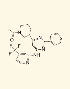 CC(=O)N1CCCC(c2cc(Nc3cc(C(F)(F)F)ccn3)nc(-c3ccccc3)n2)C1